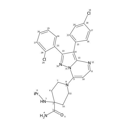 CC(C)NC1(C(N)=O)CCN(c2ccnc3c(-c4ccc(Cl)cc4)c(-c4ccccc4Cl)nn23)CC1